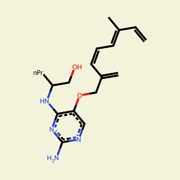 C=C/C(C)=C/C=C\C(=C)COc1cnc(N)nc1NC(CO)CCC